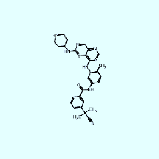 Cc1ccc(NC(=O)c2cccc(C(C)(C)C#N)c2)cc1Nc1ncnc2cnc(NC3CCNCC3)nc12